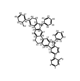 Cc1ccccc1-c1ccc2c(c1)c1cc3c(cc1n2-c1ccccc1)-c1cc2c(cc1CC3)c1c(n2-c2ccccc2)CCC(C2=CC=CCC2C)=C1